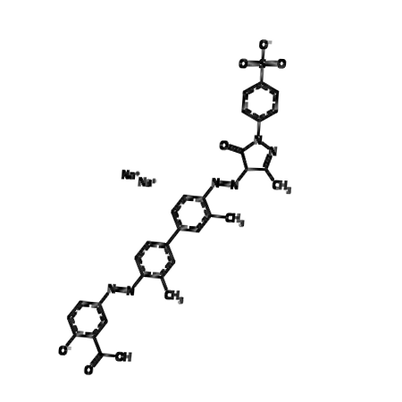 CC1=NN(c2ccc(S(=O)(=O)[O-])cc2)C(=O)C1N=Nc1ccc(-c2ccc(N=Nc3ccc([O-])c(C(=O)O)c3)c(C)c2)cc1C.[Na+].[Na+]